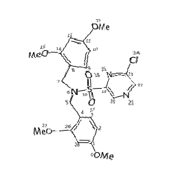 COc1ccc(CN(Cc2ccc(OC)cc2OC)S(=O)(=O)c2cncc(Cl)n2)c(OC)c1